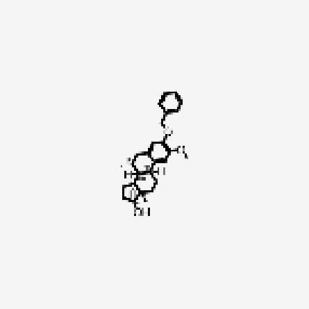 COc1cc2c(cc1OCc1ccccc1)C[C@@H](C)[C@@H]1[C@@H]2CC[C@]2(C)[C@@H](O)CC[C@@H]12